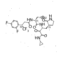 CC(C)(C)C[C@H](NC(=O)C[C@H](c1ccc(F)cc1F)C(F)(F)F)C(=O)NC(C[C@@H]1CCNC1=O)C(=O)C(=O)NC1CC1